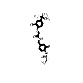 CO[SH](=O)=Nc1ccc(CNC(=O)COc2ccc(C(C)(C)C)cc2Cl)cc1F